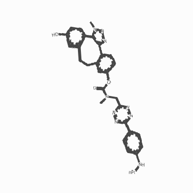 CCCNc1ccc(-c2nnc(CN(C)C(=O)Oc3ccc4c(c3)CCc3cc(O)ccc3-c3c-4nnn3C)nn2)cc1